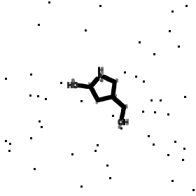 OCC1CNC(O)C1